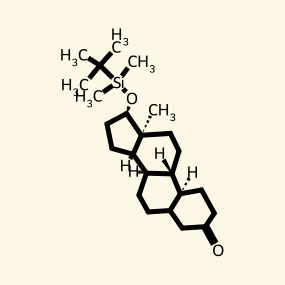 CC(C)(C)[Si](C)(C)O[C@H]1CC[C@H]2[C@@H]3CCC4CC(=O)CC[C@@H]4[C@H]3CC[C@]12C